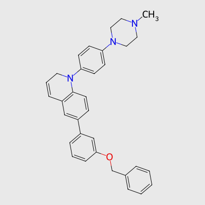 CN1CCN(c2ccc(N3CC=Cc4cc(-c5cccc(OCc6ccccc6)c5)ccc43)cc2)CC1